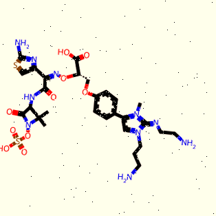 Cn1c(-c2ccc(OC[C@H](O/N=C(\C(=O)NC3C(=O)N(OS(=O)(=O)O)C3(C)C)c3csc(N)n3)C(=O)O)cc2)cn(CCCN)/c1=N\CCN